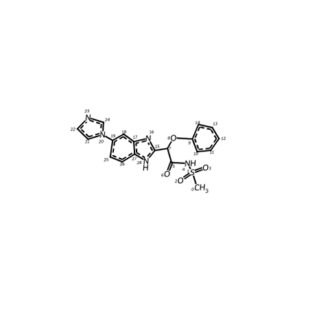 CS(=O)(=O)NC(=O)C(Oc1ccccc1)c1nc2cc(-n3ccnc3)ccc2[nH]1